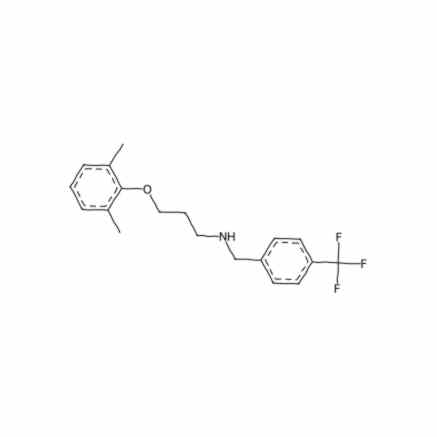 Cc1cccc(C)c1OCCCNCc1ccc(C(F)(F)F)cc1